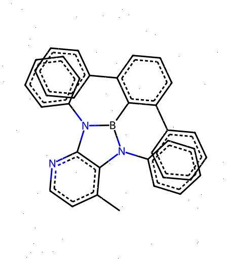 Cc1ccnc2c1N(c1ccccc1)B(c1c(-c3ccccc3)cccc1-c1ccccc1)N2c1ccccc1